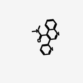 CN(C)C(=O)c1c(-c2ccccn2)cnc2ccccc12